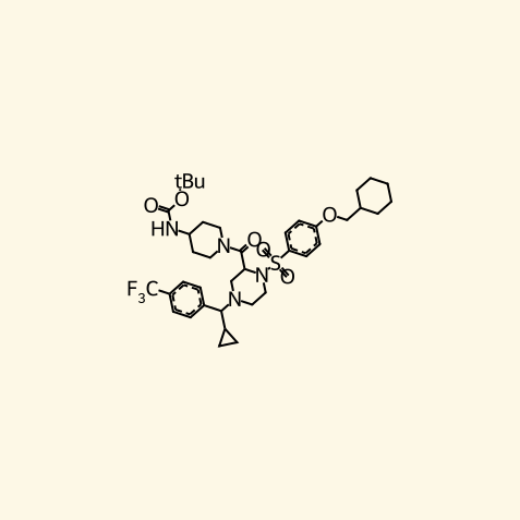 CC(C)(C)OC(=O)NC1CCN(C(=O)C2CN(C(c3ccc(C(F)(F)F)cc3)C3CC3)CCN2S(=O)(=O)c2ccc(OCC3CCCCC3)cc2)CC1